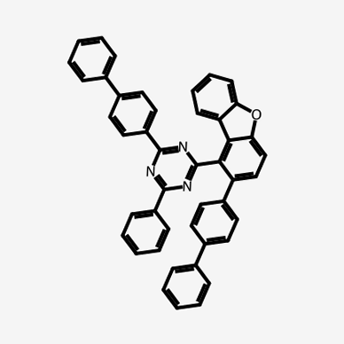 c1ccc(-c2ccc(-c3nc(-c4ccccc4)nc(-c4c(-c5ccc(-c6ccccc6)cc5)ccc5oc6ccccc6c45)n3)cc2)cc1